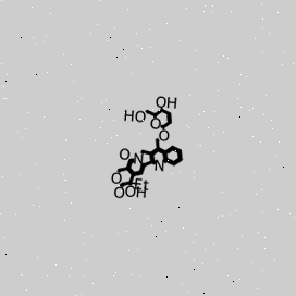 CC[C@@]1(O)C(=O)OCc2c1cc1n(c2=O)Cc2c-1nc1ccccc1c2CO[C@@H]1C=C[C@H](O)C(CO)O1